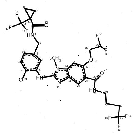 Cn1c(Nc2cc(CNC(=O)C3(C(F)(F)F)CC3)ccc2Cl)nc2cc(C(=O)NCCCC(F)(F)F)c(OCC(F)F)cc21